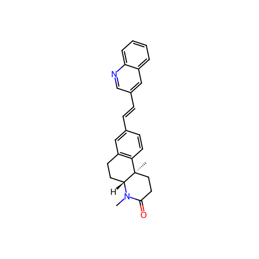 CN1C(=O)CC[C@]2(C)c3ccc(C=Cc4cnc5ccccc5c4)cc3CC[C@@H]12